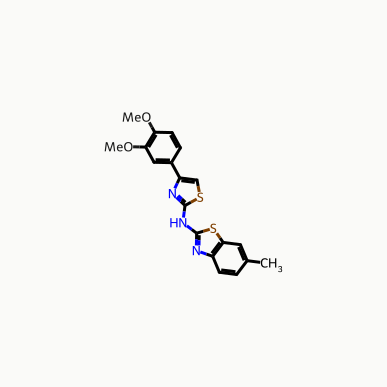 COc1ccc(-c2csc(Nc3nc4ccc(C)cc4s3)n2)cc1OC